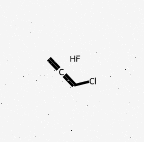 C=C=CCl.F